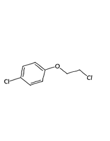 ClCCOc1ccc(Cl)cc1